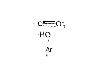 [Ar].[C-]#[O+].[OH]